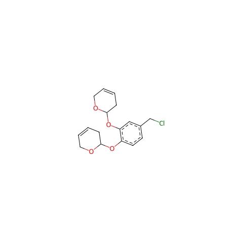 ClCc1ccc(OC2CC=CCO2)c(OC2CC=CCO2)c1